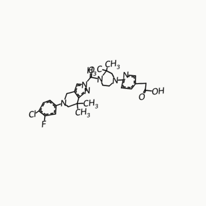 CC1(C)CN(c2ccc(Cl)c(F)c2)Cc2cn(C(=O)N3CCN(c4ccc(CC(=O)O)cn4)CC3(C)C)nc21